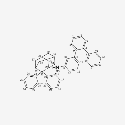 c1ccc(-c2ccccc2-c2cccc(Nc3cccc4c3C3(c5ccccc5-4)C4CC5CC(C4)CC3C5)c2)cc1